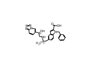 C[C@H](Cc1ccc2c(c1)cc(C(=O)O)n2Cc1ccccc1)NC[C@H](O)c1ccc2nnnn2c1